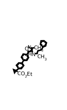 CCOC(=O)C1(c2ccc(-c3ccc(-c4onc(C)c4NC(C)CCc4ccccc4)cc3)cc2)CC1